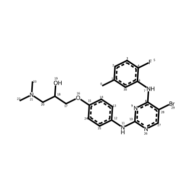 Cc1ccc(F)c(Nc2nc(Nc3ccc(OCC(O)CN(C)C)cc3)ncc2Br)c1